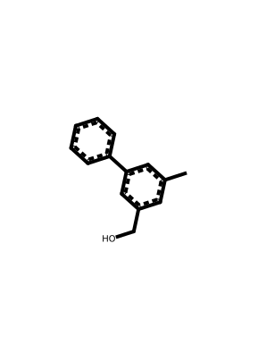 Cc1cc(CO)cc(-c2ccccc2)c1